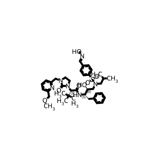 COCc1cccc(CN2CCN([C@H](C(=O)N[C@@H](Cc3ccccc3)[C@H](O)CN(CC(C)C)S(=O)(=O)c3ccc(C=NO)cc3)C(C)(C)C)C2=O)n1